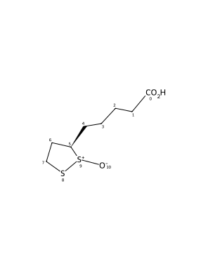 O=C(O)CCCC[C@@H]1CCS[S+]1[O-]